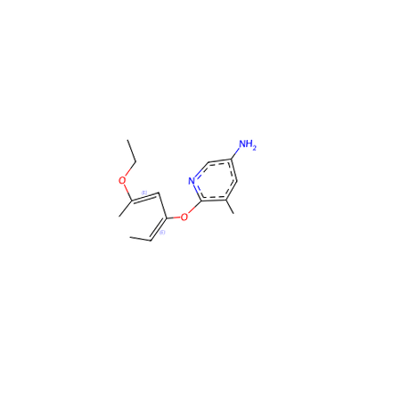 C/C=C(\C=C(/C)OCC)Oc1ncc(N)cc1C